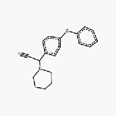 N#CC(c1ccc(Oc2ccccc2)cc1)N1CCCCC1